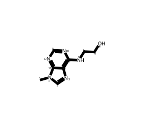 Cn1cnc2c(NCCO)ncnc21